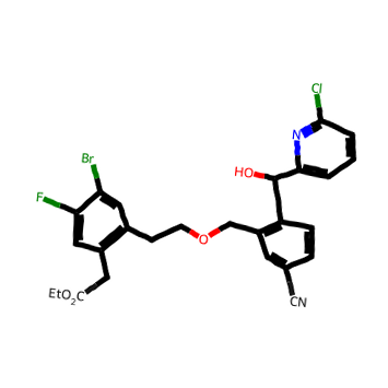 CCOC(=O)Cc1cc(F)c(Br)cc1CCOCc1cc(C#N)ccc1C(O)c1cccc(Cl)n1